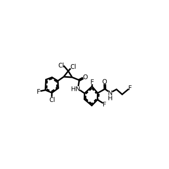 O=C(NCCF)c1c(F)ccc(NC(=O)C2C(c3ccc(F)c(Cl)c3)C2(Cl)Cl)c1F